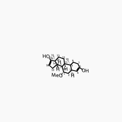 CO[C@H]1C[C@@H]2C=C(O)CC[C@]2(C)[C@H]2CC[C@]3(C)C(O)=CC[C@H]3[C@H]12